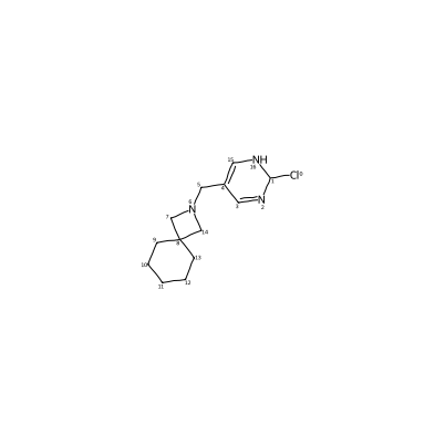 ClC1N=CC(CN2CC3(CCCCC3)C2)=CN1